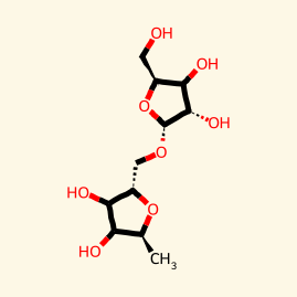 C[C@@H]1O[C@@H](CO[C@@H]2O[C@@H](CO)C(O)[C@@H]2O)C(O)C1O